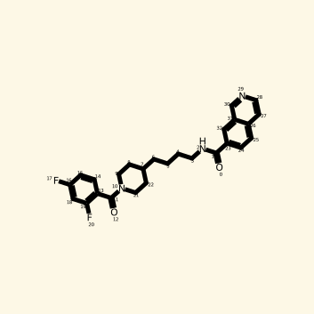 O=C(NCCCCC1CCN(C(=O)c2ccc(F)cc2F)CC1)c1ccc2ccncc2c1